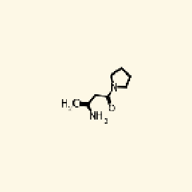 C=C(N)CC(=O)N1CCCC1